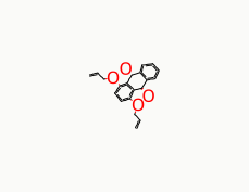 C=CCOc1ccc(OCC=C)c2c1C(=O)c1ccccc1C2=O